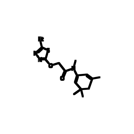 CCc1nnc(OCC(=O)N(C)C2=CC(C)(C)CC(C)=C2)s1